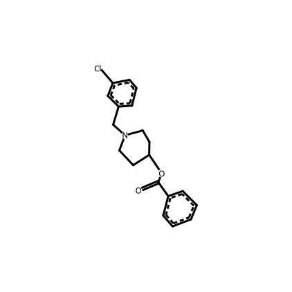 O=C(OC1CCN(Cc2cccc(Cl)c2)CC1)c1ccccc1